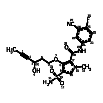 CC#C[C@H](O)CCOc1c(S(N)(=O)=O)cn(C)c1C(=O)Nc1ccc(F)c(C#N)c1